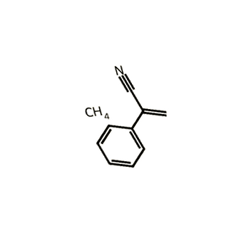 C.C=C(C#N)c1ccccc1